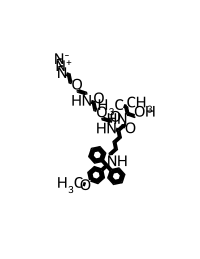 COc1ccc(C(NCCCCC(NC(=O)COCC(=O)NCCOCCN=[N+]=[N-])C(=O)NC(CO)C(C)C)(c2ccccc2)c2ccccc2)cc1